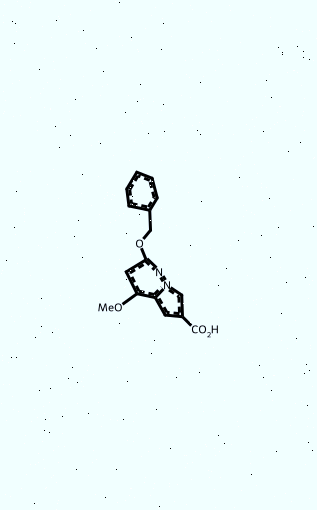 COc1cc(OCc2ccccc2)nn2cc(C(=O)O)cc12